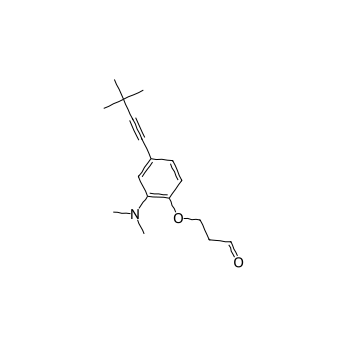 CN(C)c1cc(C#CC(C)(C)C)ccc1OCCC=O